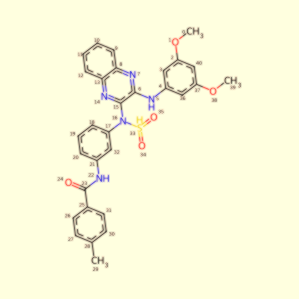 COc1cc(Nc2nc3ccccc3nc2N(c2cccc(NC(=O)c3ccc(C)cc3)c2)[SH](=O)=O)cc(OC)c1